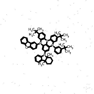 CC(C)(C)c1cccc(N2c3cc(C(C)(C)C)ccc3B3c4ccc(C(C)(C)C)cc4N(c4ccc5oc6ccccc6c5c4)c4cc(N5c6ccccc6C6(C)CCCCC56C)cc2c43)c1